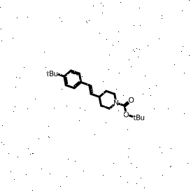 CC(C)(C)OC(=O)N1CCC(/C=C/c2ccc(C(C)(C)C)cc2)CC1